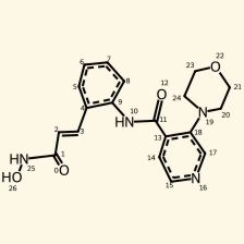 O=C(C=Cc1ccccc1NC(=O)c1ccncc1N1CCOCC1)NO